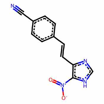 N#Cc1ccc(C=Cc2nc[nH]c2[N+](=O)[O-])cc1